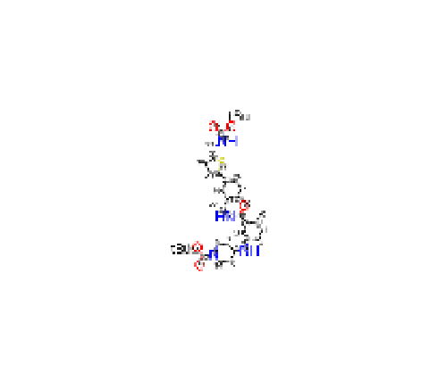 Cc1ccc(NC2CCN(C(=O)OC(C)(C)C)CC2)cc1C(=O)N[C@H](C)c1cccc(-c2ccc(CNC(=O)OC(C)(C)C)s2)c1